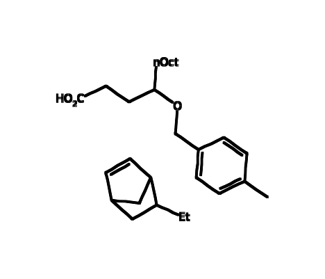 CCC1CC2C=CC1C2.CCCCCCCCC(CCC(=O)O)OCc1ccc(C)cc1